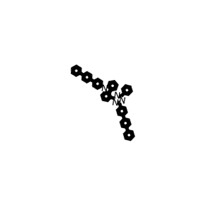 c1ccc(-c2ccc(-c3ccc(-c4nc(-c5ccccc5)nc(-c5cccc6c5c5ccccc5n6-c5ccc(-c6ccc(-c7ccccc7)cc6)cc5)n4)cc3)cc2)cc1